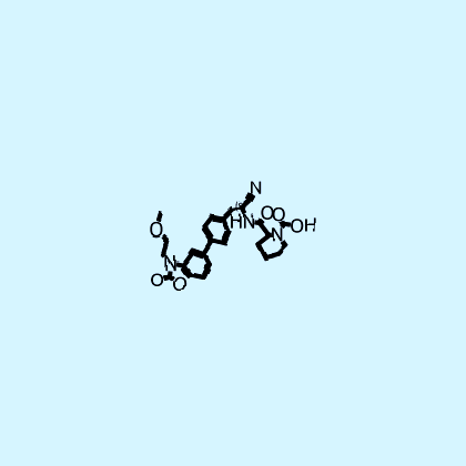 COCCn1c(=O)oc2ccc(-c3ccc(C[C@@H](C#N)NC(=O)C4CCCCN4C(=O)O)cc3)cc21